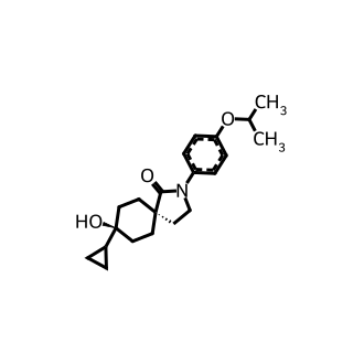 CC(C)Oc1ccc(N2CC[C@]3(CC[C@@](O)(C4CC4)CC3)C2=O)cc1